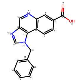 O=C(O)c1ccc2c(c1)ncc1ncn(Cc3ccccc3)c12